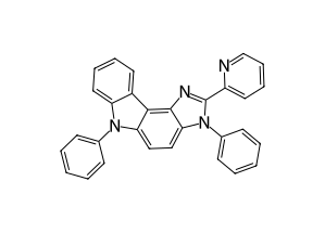 c1ccc(-n2c(-c3ccccn3)nc3c4c5ccccc5n(-c5ccccc5)c4ccc32)cc1